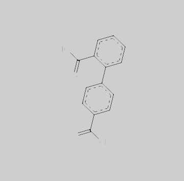 O=C(Cl)c1ccc(-c2ccccc2C(=O)O)cc1